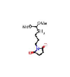 COC(OC)[SiH2]CCCN1C(=O)CCC1=O